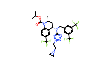 CC(C)OC(=O)N1c2ccc(C(F)(F)F)cc2[C@@H](N(Cc2cc(C(F)(F)F)cc(C(F)(F)F)c2)c2nnn(CCN3CC3)n2)C[C@H]1C